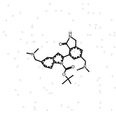 CN(C)Cc1cc2c(c(-c3cc4cc(CN(C)C)ccc4n3C(=O)OC(C)(C)C)c1)C(=O)NC2